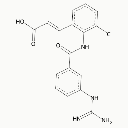 N=C(N)Nc1cccc(C(=O)Nc2c(Cl)cccc2C=CC(=O)O)c1